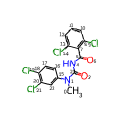 CN(C(=O)NC(=O)c1c(Cl)cccc1Cl)c1ccc(Cl)c(Cl)c1